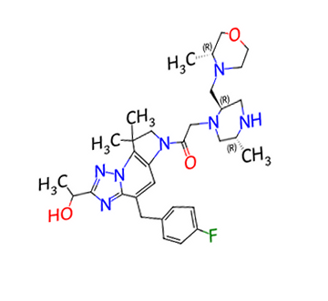 CC(O)c1nc2c(Cc3ccc(F)cc3)cc3c(n2n1)C(C)(C)CN3C(=O)CN1C[C@@H](C)NC[C@@H]1CN1CCOC[C@H]1C